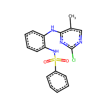 Cc1cnc(Cl)nc1Nc1ccccc1NS(=O)(=O)c1ccccc1